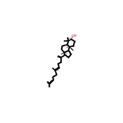 C=C(CC/C=C(\C)CCC=C(C)C)C1CCC2[C@@]1(C)CCC1C(C)(C)[C@@H](O)CC[C@@]12C